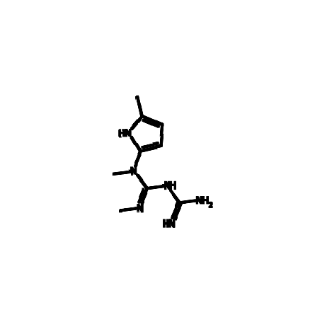 C/N=C(/NC(=N)N)N(C)c1ccc(C)[nH]1